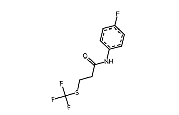 O=C(CCSC(F)(F)F)Nc1ccc(F)cc1